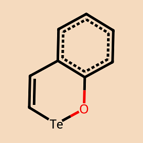 C1=Cc2ccccc2O[Te]1